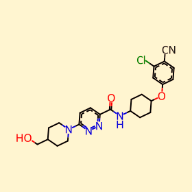 N#Cc1ccc(OC2CCC(NC(=O)c3ccc(N4CCC(CO)CC4)nn3)CC2)cc1Cl